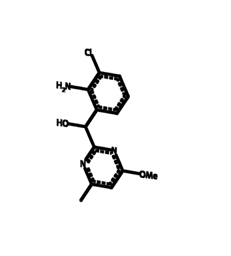 COc1cc(C)nc(C(O)c2cccc(Cl)c2N)n1